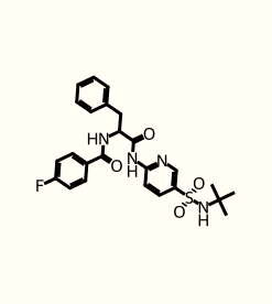 CC(C)(C)NS(=O)(=O)c1ccc(NC(=O)C(Cc2ccccc2)NC(=O)c2ccc(F)cc2)nc1